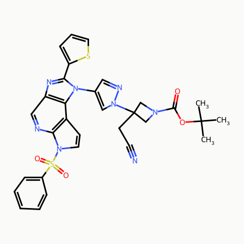 CC(C)(C)OC(=O)N1CC(CC#N)(n2cc(-n3c(-c4cccs4)nc4cnc5c(ccn5S(=O)(=O)c5ccccc5)c43)cn2)C1